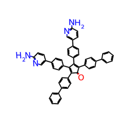 Nc1ccc(-c2ccc(C3=C(c4ccc(-c5ccccc5)cc4)C(=O)C(c4ccc(-c5ccccc5)cc4)=C3c3ccc(-c4ccc(N)nc4)cc3)cc2)cn1